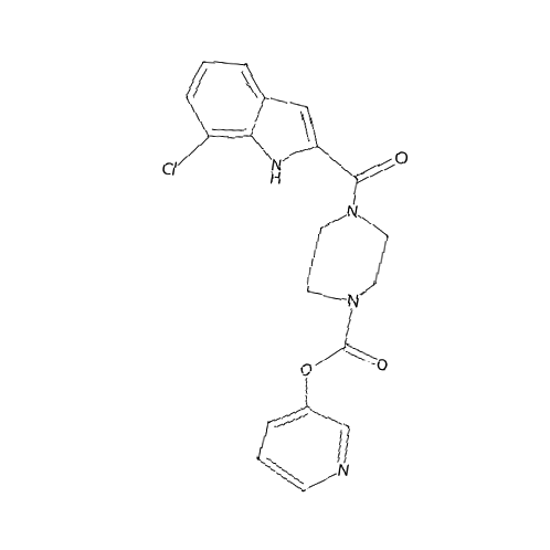 O=C(Oc1cccnc1)N1CCN(C(=O)c2cc3cccc(Cl)c3[nH]2)CC1